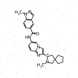 CN1CC2(CCCC2)C[C@@H]1c1cn2cc(NC(=O)c3ccc4c(cnn4C)c3)ccc2n1